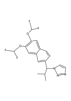 CC(C)C(c1ccc2cc(OC(F)F)c(OC(F)F)cc2c1)n1ccnn1